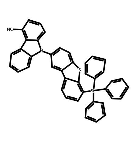 N#Cc1cccc2c1c1ccccc1n2-c1ccc2sc3c([Si](c4ccccc4)(c4ccccc4)c4ccccc4)cccc3c2c1